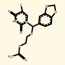 CC(=O)OCCOC(c1ccc2c(c1)OCO2)n1cc(F)c(=O)[nH]c1=O